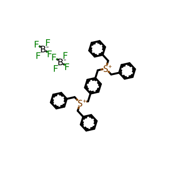 F[B-](F)(F)F.F[B-](F)(F)F.c1ccc(C[S+](Cc2ccccc2)Cc2ccc(C[S+](Cc3ccccc3)Cc3ccccc3)cc2)cc1